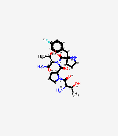 CC(O)[C@H](C(N)=O)N(C(=O)C1CCCN1C(=O)[C@H](N)[C@H](C)O)C(=O)[C@@]1(Cc2ccc(F)cc2)CCCN1